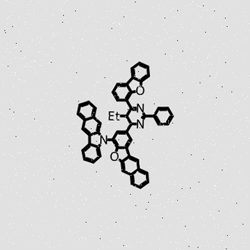 CCC1C(c2cccc3c2oc2ccccc23)=NC(c2ccccc2)=NC1c1cc(-n2c3ccccc3c3cc4ccccc4cc32)c2oc3cc4ccccc4cc3c2c1